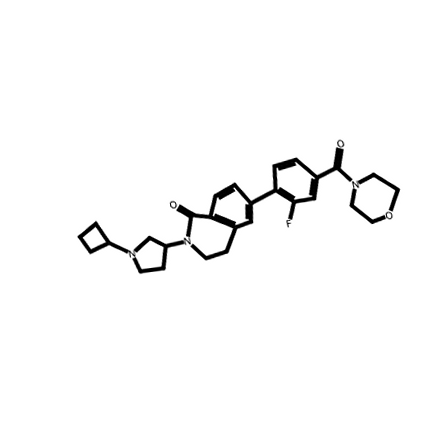 O=C(c1ccc(-c2ccc3c(c2)CCN(C2CCN(C4CCC4)C2)C3=O)c(F)c1)N1CCOCC1